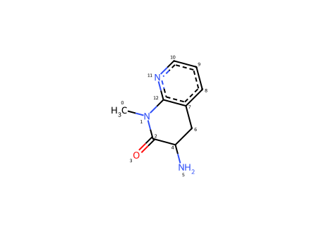 CN1C(=O)C(N)Cc2cccnc21